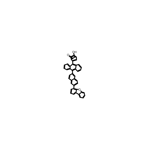 O=C1C2C=CC(C=C2c2c3ccccc3c(-c3ccc4cc(-c5cccc6c5oc5ccccc56)ccc4c3)c3ccccc23)C1O